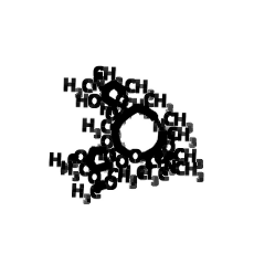 CC[C@H]1OC(=O)[C@H](C)[C@@H](O[C@H]2C[C@@](C)(OC)[C@@H](OC(C)=O)[C@H](C)O2)C(C)[C@@H](O[C@@H]2O[C@H](C)C[C@H](N(C)C)[C@H]2O)[C@](C)(O)C[C@@H](C)CN(C)[C@H](C)[C@H]2OC(C)(N(C)C)O[C@@]21C